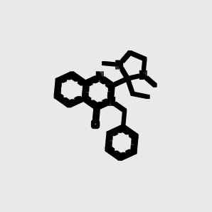 CCC1(c2nc3ccccc3c(=O)n2Cc2ccccc2)N(C)CCN1C